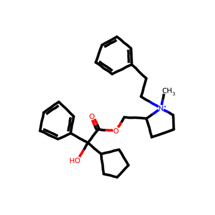 C[N+]1(CCc2ccccc2)CCCC1COC(=O)C(O)(c1ccccc1)C1CCCC1